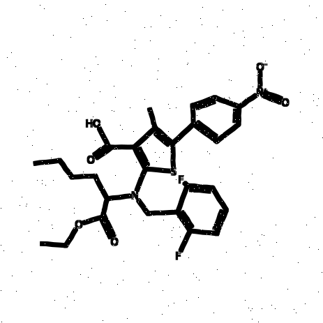 CCCCC(C(=O)OCC)N(Cc1c(F)cccc1F)c1sc(-c2ccc([N+](=O)[O-])cc2)c(C)c1C(=O)O